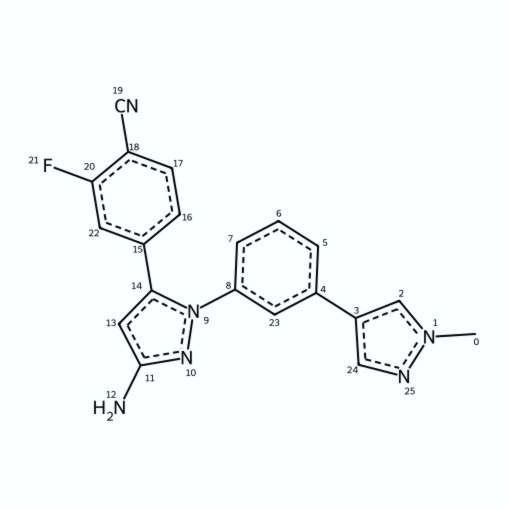 Cn1cc(-c2cccc(-n3nc(N)cc3-c3ccc(C#N)c(F)c3)c2)cn1